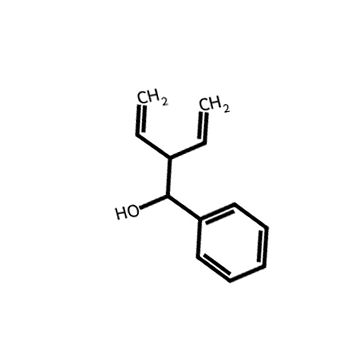 C=CC(C=C)C(O)c1ccccc1